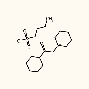 CCCCS(=O)(=O)[O-].O=C(C[S+]1CCCCC1)C1CCCCC1